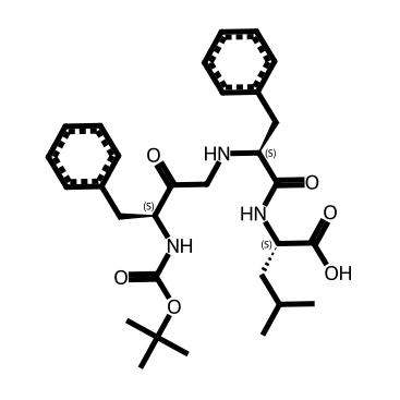 CC(C)C[C@H](NC(=O)[C@H](Cc1ccccc1)NCC(=O)[C@H](Cc1ccccc1)NC(=O)OC(C)(C)C)C(=O)O